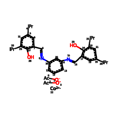 CC(=O)[O-].CC(=O)[O-].CC(C)c1cc(C=Nc2cccc(N=Cc3cc(C(C)C)cc(C(C)C)c3O)c2)c(O)c(C(C)C)c1.[Co+2]